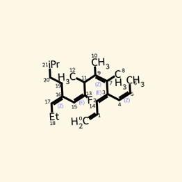 C=C/C=C(\C=C/C)C(/C)=C(/C)C(C)/C(F)=C\C(=C/CC)CCC(C)C